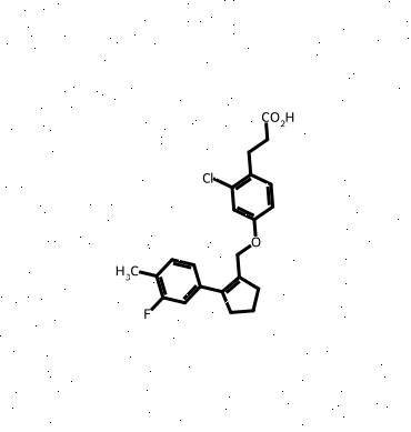 Cc1ccc(C2=C(COc3ccc(CCC(=O)O)c(Cl)c3)CCC2)cc1F